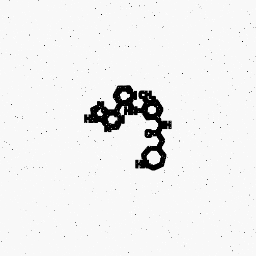 Cc1ccc(NC(=O)CC2CCCNCC2)cc1Nc1ncccc1-c1ncnc2[nH]cnc12